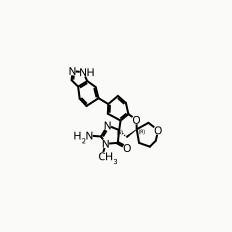 CN1C(=O)[C@@]2(C[C@@]3(CCCOC3)Oc3ccc(-c4ccc5cn[nH]c5c4)cc32)N=C1N